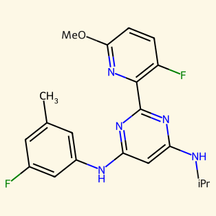 COc1ccc(F)c(-c2nc(Nc3cc(C)cc(F)c3)cc(NC(C)C)n2)n1